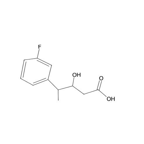 CC(c1cccc(F)c1)C(O)CC(=O)O